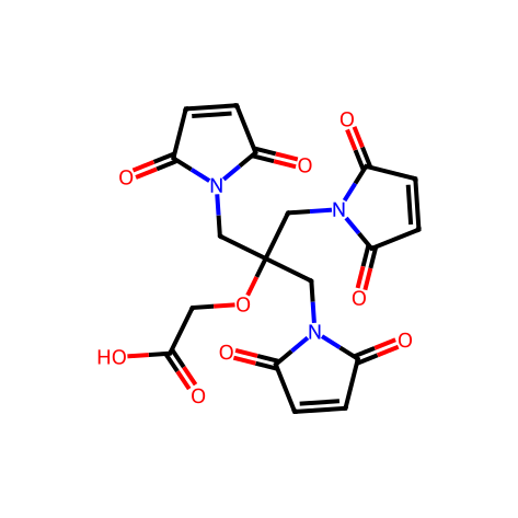 O=C(O)COC(CN1C(=O)C=CC1=O)(CN1C(=O)C=CC1=O)CN1C(=O)C=CC1=O